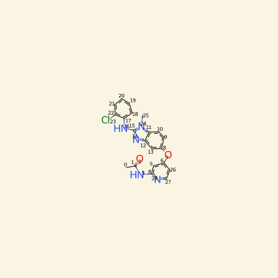 CC(=O)Nc1cc(Oc2ccc3c(c2)nc(Nc2ccccc2Cl)n3C)ccn1